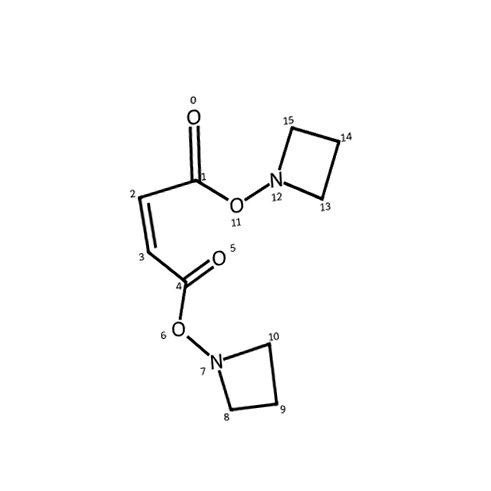 O=C(/C=C\C(=O)ON1CCC1)ON1CCC1